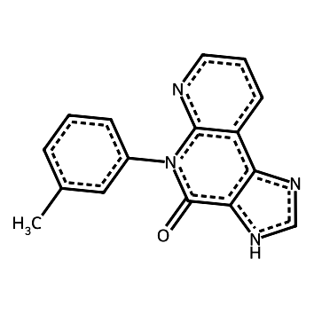 Cc1cccc(-n2c(=O)c3[nH]cnc3c3cccnc32)c1